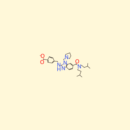 COC(=O)c1ccc(CNc2nc3ccc(C(=O)N(CCC(C)C)CCC(C)C)cc3n2CN2CCCC2)cc1